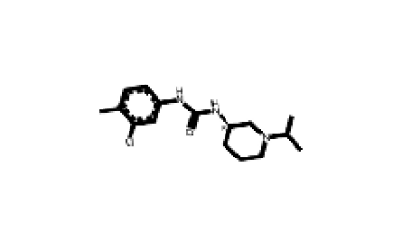 Cc1ccc(NC(=O)N[C@@H]2CCCN(C(C)C)C2)cc1Cl